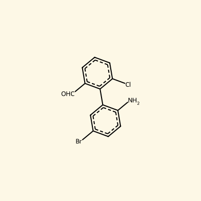 Nc1ccc(Br)cc1-c1c(Cl)cccc1C=O